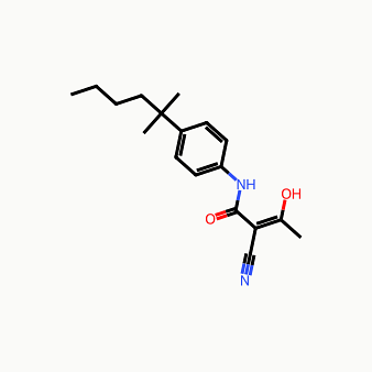 CCCCC(C)(C)c1ccc(NC(=O)C(C#N)=C(C)O)cc1